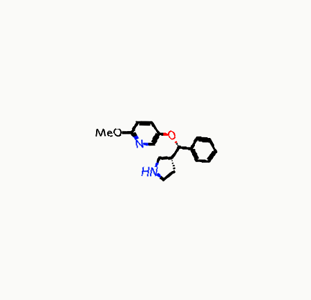 COc1ccc(O[C@H](c2ccccc2)[C@@H]2CCNC2)cn1